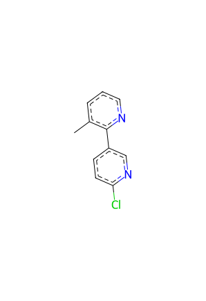 Cc1cccnc1-c1ccc(Cl)nc1